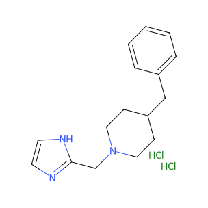 Cl.Cl.c1ccc(CC2CCN(Cc3ncc[nH]3)CC2)cc1